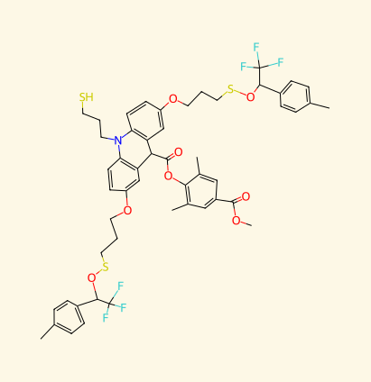 COC(=O)c1cc(C)c(OC(=O)C2c3cc(OCCCSOC(c4ccc(C)cc4)C(F)(F)F)ccc3N(CCCS)c3ccc(OCCCSOC(c4ccc(C)cc4)C(F)(F)F)cc32)c(C)c1